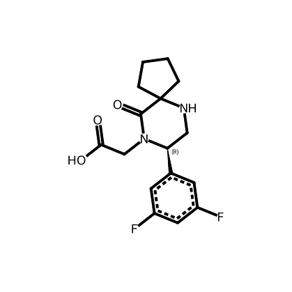 O=C(O)CN1C(=O)C2(CCCC2)NC[C@H]1c1cc(F)cc(F)c1